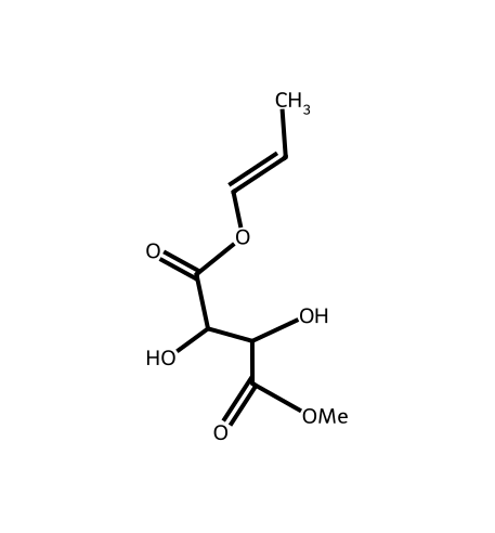 CC=COC(=O)C(O)C(O)C(=O)OC